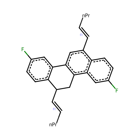 CCC/C=C/c1cc2c(c3cc(F)ccc13)CC(/C=C/CCC)c1ccc(F)cc1-2